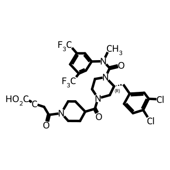 CN(C(=O)N1CCN(C(=O)C2CCN(C(=O)CCC(=O)O)CC2)C[C@H]1Cc1ccc(Cl)c(Cl)c1)c1cc(C(F)(F)F)cc(C(F)(F)F)c1